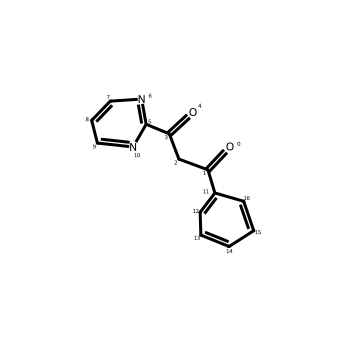 O=C(CC(=O)c1ncccn1)c1ccccc1